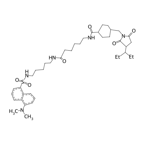 CCC(CC)C1CC(=O)N(CC2CCC(C(=O)NCCCCCC(=O)NCCCCCNS(=O)(=O)c3cccc4c(N(C)C)cccc34)CC2)C1=O